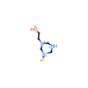 OCCN1CNC[N+](=S)C1